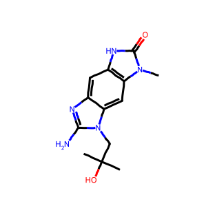 Cn1c(=O)[nH]c2cc3nc(N)n(CC(C)(C)O)c3cc21